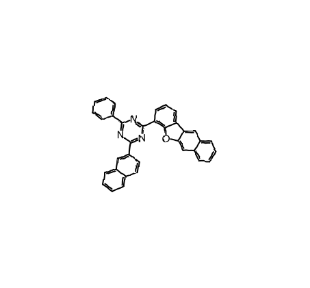 c1ccc(-c2nc(-c3ccc4ccccc4c3)nc(-c3cccc4c3oc3cc5ccccc5cc34)n2)cc1